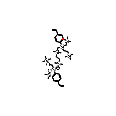 C=Cc1ccc([Si](CC[Si](C)(C)C)(C[Si](C)(C)C)C[Si](C)(C)CC[Si](C)(C)O[Si](CO[Si](C)(C)C)(O[Si](C)(C)C)c2ccc(C=C)cc2)cc1